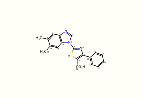 Cc1cc2ncn(-c3nc(-c4ccccc4)c(C(=O)O)s3)c2cc1C